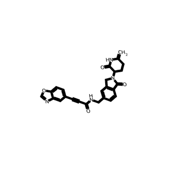 C=C1CCC(N2Cc3cc(CNC(=O)C#Cc4ccc5ocnc5c4)ccc3C2=O)C(=O)N1